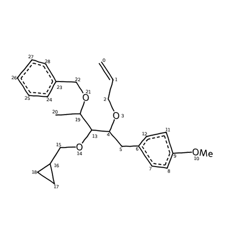 C=CCOC(Cc1ccc(OC)cc1)C(OCC1CC1)C(C)OCc1ccccc1